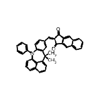 CC1(C)c2cc(C=C3C(=O)c4cc5ccccc5cc4C3=O)ccc2N(c2ccccc2)c2cccc3cccc1c23